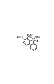 C=CS(=O)(CCCC)(c1ccccc1)c1cccc(OC(C)=O)c1OC(C)=O